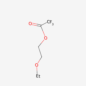 CCOCCOC(=O)C(F)(F)F